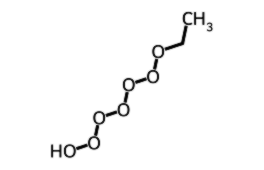 CCOOOOOOO